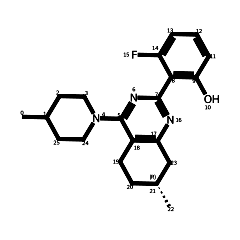 CC1CCN(c2nc(-c3c(O)cccc3F)nc3c2CC[C@@H](C)C3)CC1